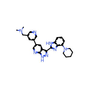 CN(C)Cc1cncc(-c2cnc3[nH]nc(-c4nc5c(N6CCCCC6)cccc5[nH]4)c3c2)c1